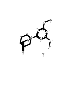 CC(C)Oc1nc(OC(C)C)nc([N+]23CCC(CC2)C(=O)C3)n1.[Cl-]